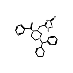 O=C(c1cccnc1)N1CCN(C(c2ccccc2)C2C=CCCC2)C[C@@H]1Cc1nc(=O)o[nH]1